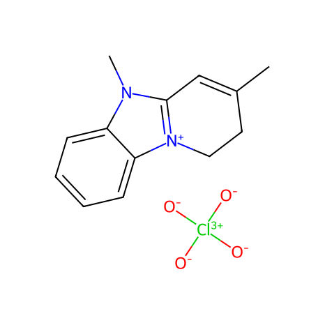 CC1=Cc2n(C)c3ccccc3[n+]2CC1.[O-][Cl+3]([O-])([O-])[O-]